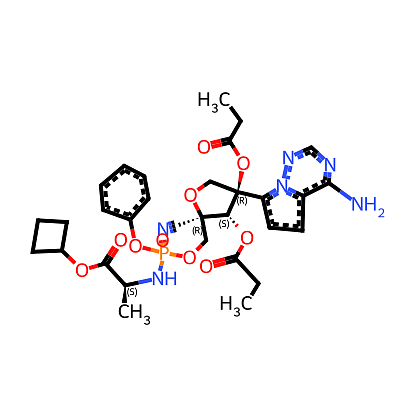 CCC(=O)O[C@@H]1[C@@](C#N)(COP(=O)(N[C@@H](C)C(=O)OC2CCC2)Oc2ccccc2)OC[C@]1(OC(=O)CC)c1ccc2c(N)ncnn12